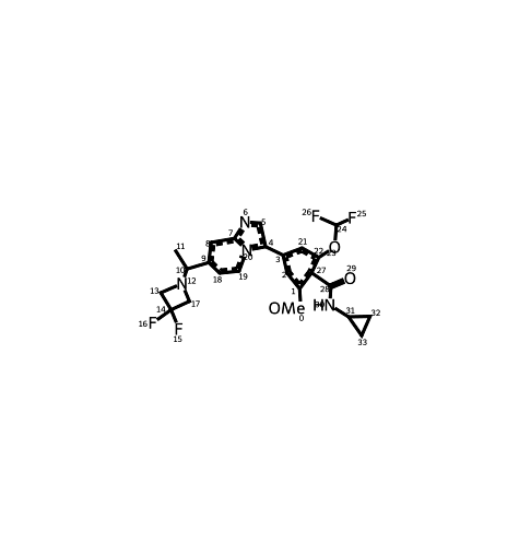 COc1cc(-c2cnc3cc(C(C)N4CC(F)(F)C4)ccn23)cc(OC(F)F)c1C(=O)NC1CC1